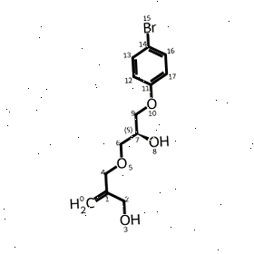 C=C(CO)COC[C@H](O)COc1ccc(Br)cc1